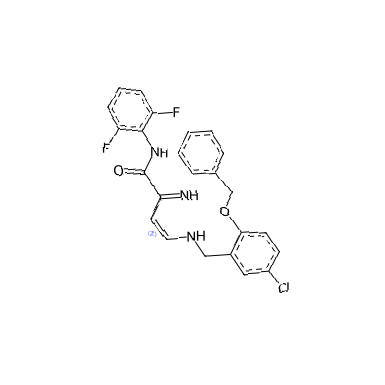 N=C(/C=C\NCc1cc(Cl)ccc1OCc1ccccc1)C(=O)Nc1c(F)cccc1F